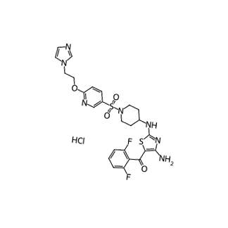 Cl.Nc1nc(NC2CCN(S(=O)(=O)c3ccc(OCCn4ccnc4)nc3)CC2)sc1C(=O)c1c(F)cccc1F